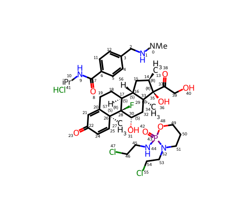 CNNCc1ccc(C(=O)NC(C)C)cc1.C[C@@H]1C[C@H]2[C@@H]3CCC4=CC(=O)C=C[C@]4(C)[C@@]3(F)[C@@H](O)C[C@]2(C)[C@@]1(O)C(=O)CO.Cl.O=P1(NCCCl)OCCCN1CCCl